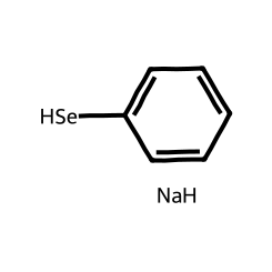 [NaH].[SeH]c1ccccc1